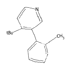 Cc1ccccc1-c1cnccc1C(C)(C)C